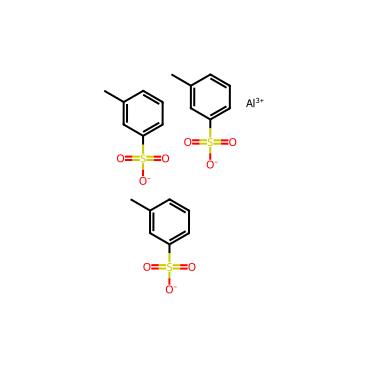 Cc1cccc(S(=O)(=O)[O-])c1.Cc1cccc(S(=O)(=O)[O-])c1.Cc1cccc(S(=O)(=O)[O-])c1.[Al+3]